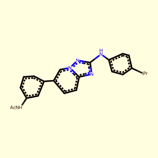 CC(=O)Nc1cccc(-c2ccc3nc(Nc4ccc(C(C)C)cc4)nn3c2)c1